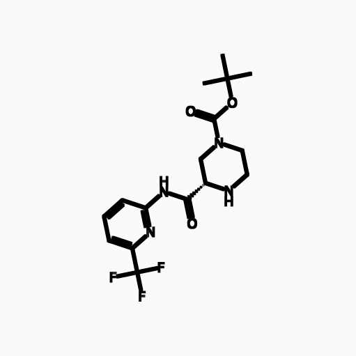 CC(C)(C)OC(=O)N1CCN[C@H](C(=O)Nc2cccc(C(F)(F)F)n2)C1